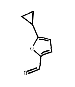 O=Cc1ccc(C2CC2)o1